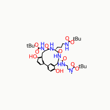 CN(CCNC(=O)[C@@H]1Cc2cc(ccc2O)-c2ccc(O)c(c2)C[C@H](NC(=O)OC(C)(C)C)C(=O)N[C@@H](CCCNC(=O)OC(C)(C)C)C(=O)N1)C(=O)OC(C)(C)C